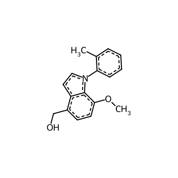 COc1ccc(CO)c2ccn(-c3ccccc3C)c12